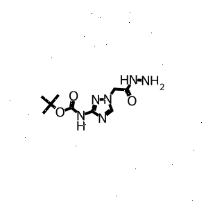 CC(C)(C)OC(=O)Nc1ncn(CC(=O)NN)n1